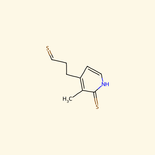 Cc1c(CCC=S)cc[nH]c1=S